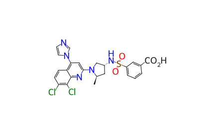 C[C@@H]1C[C@@H](NS(=O)(=O)c2cccc(C(=O)O)c2)CN1c1cc(-n2ccnc2)c2ccc(Cl)c(Cl)c2n1